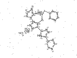 CN(Cc1cccnc1)Cc1c(-c2nnc(-c3ccncc3)[nH]2)nnn1-c1nonc1N.Cl.Cl.Cl